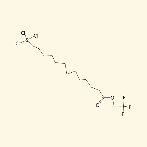 O=C(CCCCCCCCCCCCS(Cl)(Cl)Cl)OCC(F)(F)F